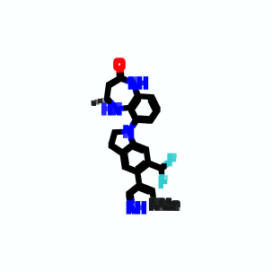 CN/C=C(\C=N)c1cc2c(cc1C(F)F)N(c1cccc3c1N[C@H](C)CC(=O)N3)CC2